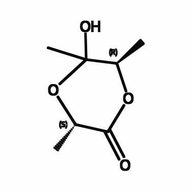 C[C@@H]1OC(C)(O)[C@@H](C)OC1=O